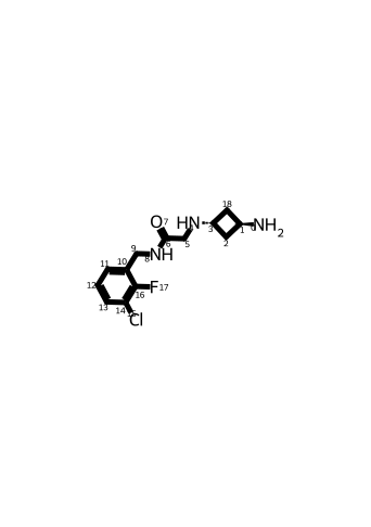 N[C@H]1C[C@H](NCC(=O)NCc2cccc(Cl)c2F)C1